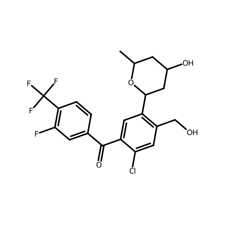 CC1CC(O)CC(c2cc(C(=O)c3ccc(C(F)(F)F)c(F)c3)c(Cl)cc2CO)O1